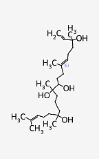 C=CC(C)(O)CC/C=C(\C)CCC(O)C(C)(O)CCCC(C)(O)CCC=C(C)C